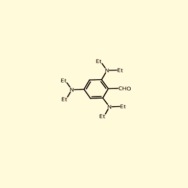 CCN(CC)c1cc(N(CC)CC)c(C=O)c(N(CC)CC)c1